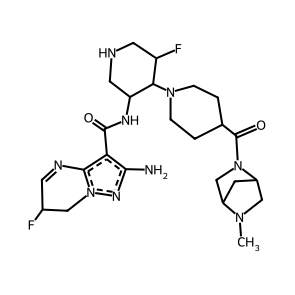 CN1CC2CC1CN2C(=O)C1CCN(C2C(F)CNCC2NC(=O)c2c(N)nn3c2N=CC(F)C3)CC1